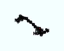 Cc1ncsc1-c1ccc(CNC(=O)[C@@H]2C[C@@H](O)CN2C(=O)[C@@H](NC(=O)COCCOCCOCCCOCCOCCOc2ccc(N3C(=O)N(c4ccc(C#N)c(C(F)(F)F)c4)C(=O)C3(C)C)cc2)C(C)(C)C)cc1